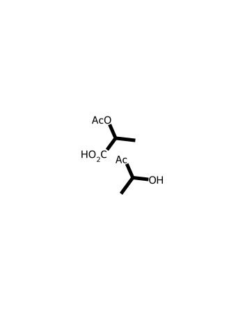 CC(=O)C(C)O.CC(=O)OC(C)C(=O)O